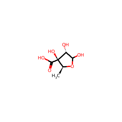 C[C@@H]1OC(O)[C@@H](O)[C@@]1(O)C(=O)O